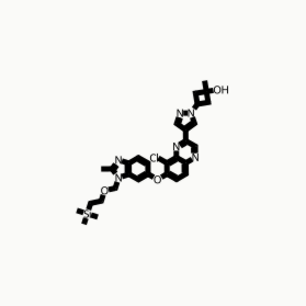 Cc1nc2ccc(Oc3ccc4ncc(-c5cnn(C6CC(C)(O)C6)c5)nc4c3Cl)cc2n1COCC[Si](C)(C)C